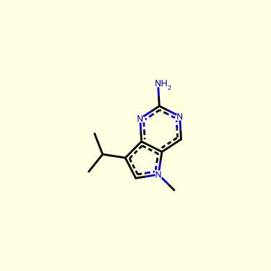 CC(C)c1cn(C)c2cnc(N)nc12